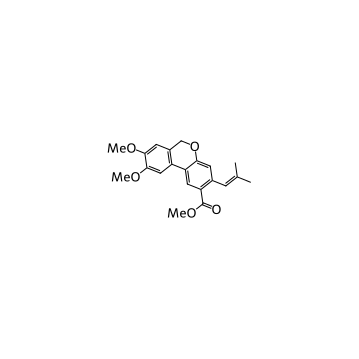 COC(=O)c1cc2c(cc1C=C(C)C)OCc1cc(OC)c(OC)cc1-2